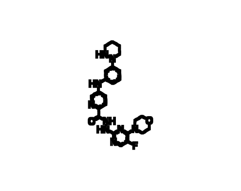 O=C(NNc1ncc(F)c(N2CCOCC2)n1)c1ccc(Nc2cccc(N3CCCCN3)c2)cn1